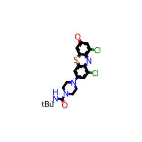 CC(C)(C)NC(=O)N1CCN(c2cc(Cl)c3nc4c(Cl)cc(=O)cc-4sc3c2)CC1